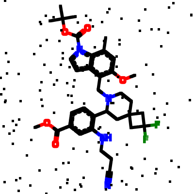 COC(=O)c1ccc(C2CC3(CCN2Cc2c(OC)cc(C)c4c2ccn4C(=O)OC(C)(C)C)CC(F)(F)C3)c(NCCC#N)c1